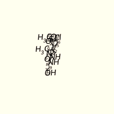 Cc1nc(NC(=O)NCCCO)sc1-c1ccc(Cl)c(S(C)(=O)=O)c1